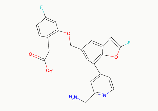 NCc1cc(-c2cc(COc3cc(F)ccc3CC(=O)O)cc3cc(F)oc23)ccn1